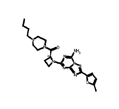 CCCCN1CCN(C(=O)[C@@H]2CCN2c2nc(N)n3nc(-c4ccc(C)o4)nc3n2)CC1